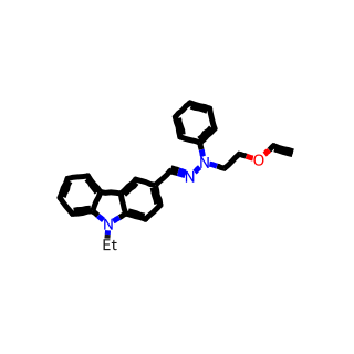 C=COCCN(N=Cc1ccc2c(c1)c1ccccc1n2CC)c1ccccc1